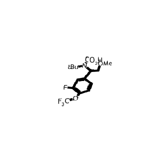 COCC(c1ccc(OC(F)(F)F)c(F)c1)N(C(=O)O)C(C)(C)C